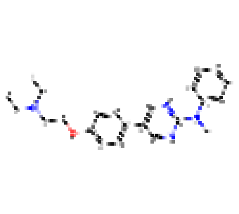 CCN(CC)CCOc1ccc(-c2cnc(N(C)c3ccccc3)nc2)cc1